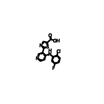 O=C(O)c1cnc(-c2cnccc2Nc2cc(F)ccc2Cl)s1